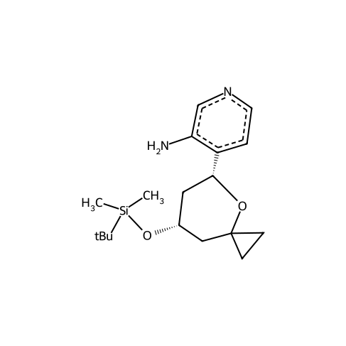 CC(C)(C)[Si](C)(C)O[C@@H]1C[C@H](c2ccncc2N)OC2(CC2)C1